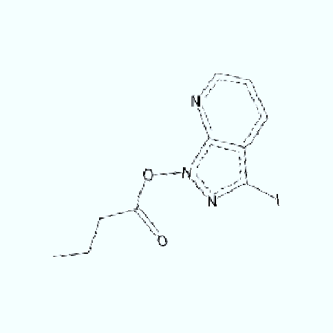 CCCC(=O)On1nc(I)c2cccnc21